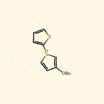 CC(C)COC1=C[SH](c2cccs2)C=C1